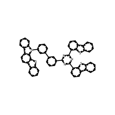 c1cc(-c2cccc(-n3c4ccccc4c4ccc5c6ccccc6sc5c43)c2)cc(-c2nc(-c3cccc4c3sc3ccccc34)nc(-c3cccc4c3sc3ccccc34)n2)c1